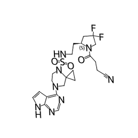 N#CCCC(=O)N1CC(F)(F)C[C@@H]1CCNS(=O)(=O)N1CCN(c2ncnc3[nH]ccc23)CC12CC2